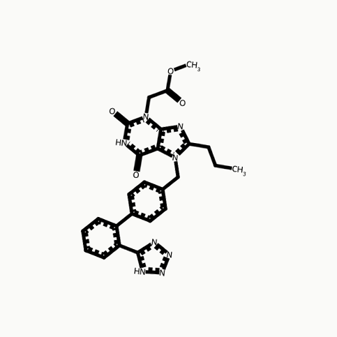 CCCc1nc2c(c(=O)[nH]c(=O)n2CC(=O)OC)n1Cc1ccc(-c2ccccc2-c2nnn[nH]2)cc1